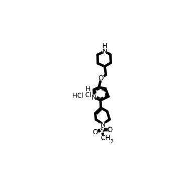 CS(=O)(=O)N1CC=C(c2ccc(OCC3CCNCC3)cn2)CC1.Cl.Cl